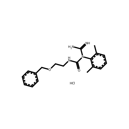 Cc1cccc(C)c1N(C(=N)N)C(=O)NCCOCc1ccccc1.Cl